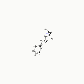 C/N=C(/C)COCc1ccccc1